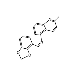 Cc1ccc2c(/N=C\c3cccc4c3OCO4)cccc2n1